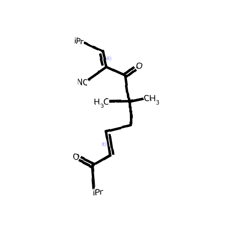 CC(C)/C=C(\C#N)C(=O)C(C)(C)C/C=C/C(=O)C(C)C